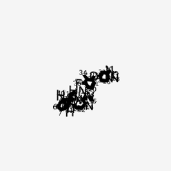 C=CC(=O)N1[C@@H]2CC[C@H]1[C@H](c1ccc3ncnc(Nc4ccc(Oc5ccn6ncnc6c5)c(C)c4F)c3n1)C2